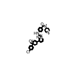 CN1CCC(N(C)C(=O)c2ccc(Nc3nc4c(C5=CCC(CO)(c6ccc(Cl)cc6)CC5)cccn4n3)cc2)CC1